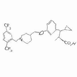 C[C@H](C(=O)O)C(c1cccc(OCC2CCN(Cc3cc(C(F)(F)F)ccc3C(F)(F)F)CC2)c1)C1CC1